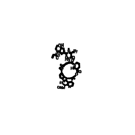 C=CC(=O)N1CCO[C@@H]2CN(C(=O)N(C)C(C(=O)N[C@H]3Cc4nc(cs4)-c4ccc5c(c4)c(c(-c4cccnc4[C@H](C)OC)n5CC)CC(C)(C)COC(=O)[C@@H]4CCCN(N4)C3=O)C(C)C)C[C@H]21